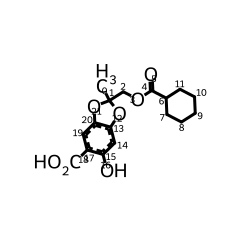 CC1(COC(=O)C2CCCCC2)Oc2cc(O)c(C(=O)O)cc2O1